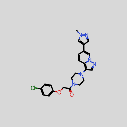 Cn1cc(-c2ccc3c(N4CCN(C(=O)COc5ccc(Cl)cc5)CC4)cnn3c2)cn1